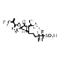 C=C(C(=O)OC(OCCCCC(F)(F)C(F)(F)S(=O)(=O)O)(C(=O)NC(C(F)(F)F)C(F)(F)F)C(F)(F)F)C(F)(F)F